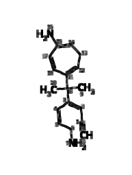 C#C/C=C(\C=C/CN)C(C)(C)C1=CCC=C(N)C=C1